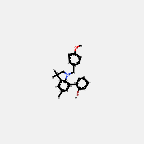 COc1ccc(CN2CC(C)(C)c3cc(C)cc(-c4ccccc4Br)c32)cc1